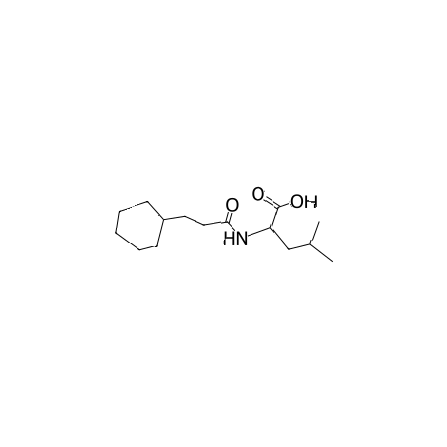 CC(C)CC(NC(=O)CCC1CCCCC1)C(=O)O